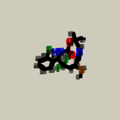 CS/C(C#N)=C/C(F)(F)C(NC(=O)OC(C)(C)C)c1ccccc1F